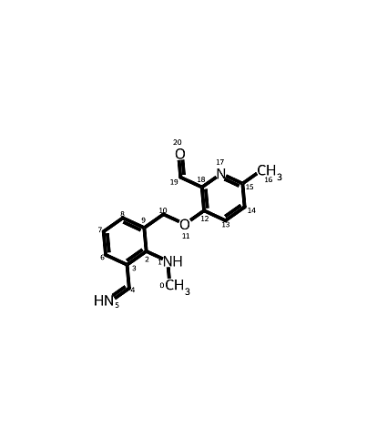 CNc1c(C=N)cccc1COc1ccc(C)nc1C=O